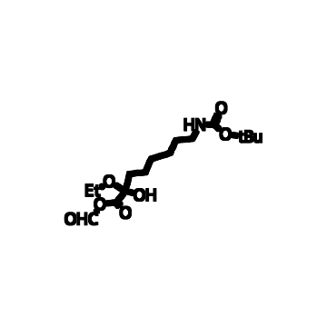 CCOC(O)(CCCCCCNC(=O)OC(C)(C)C)C(=O)OC=O